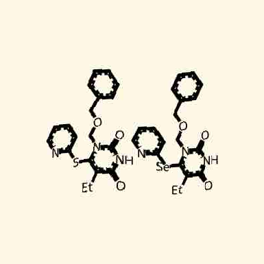 CCc1c(Sc2ccccn2)n(COCc2ccccc2)c(=O)[nH]c1=O.CCc1c([Se]c2ccccn2)n(COCc2ccccc2)c(=O)[nH]c1=O